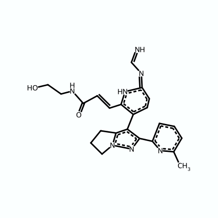 Cc1cccc(-c2nn3c(c2-c2cc/c(=N/C=N)[nH]c2/C=C/C(=O)NCCO)CCC3)n1